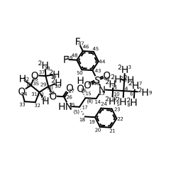 [2H]C([2H])([2H])C([2H])(C([2H])([2H])[2H])C([2H])([2H])N(C[C@@H](O)[C@H](Cc1ccccc1)NC(=O)O[C@]1([2H])[C@@H]2CCO[C@@H]2OC1([2H])[2H])S(=O)(=O)c1ccc(F)c(F)c1